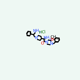 COc1ccccc1CN1CCN(C(=O)[C@H](N)C2CCN(CC(CN)c3ccccc3)CC2)CC1.Cl